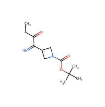 C[CH]C(=O)C(=N)C1CN(C(=O)OC(C)(C)C)C1